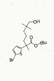 CC(C)(CO)CCCC(C)(C(=O)OC(C)(C)C)c1ccc(Br)s1